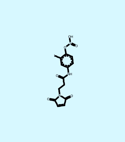 O=C(CCN1C(=O)C=CC1=O)Nc1ccc(OS(=O)O)c(I)c1